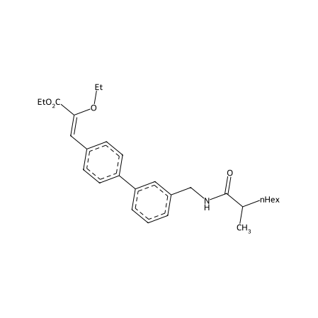 CCCCCCC(C)C(=O)NCc1cccc(-c2ccc(C=C(OCC)C(=O)OCC)cc2)c1